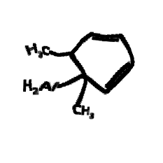 CC1C=CC=C[C]1(C)[AlH2]